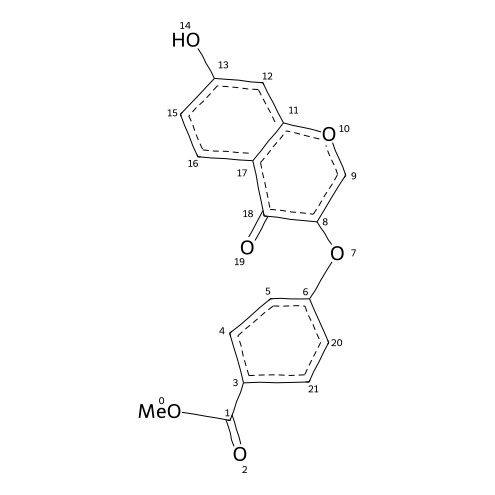 COC(=O)c1ccc(Oc2coc3cc(O)ccc3c2=O)cc1